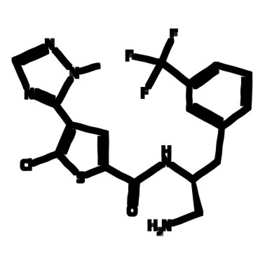 Cn1ncnc1-c1cc(C(=O)N[C@H](CN)Cc2cccc(C(F)(F)F)c2)sc1Cl